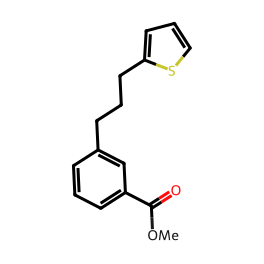 COC(=O)c1cccc(CCCc2cccs2)c1